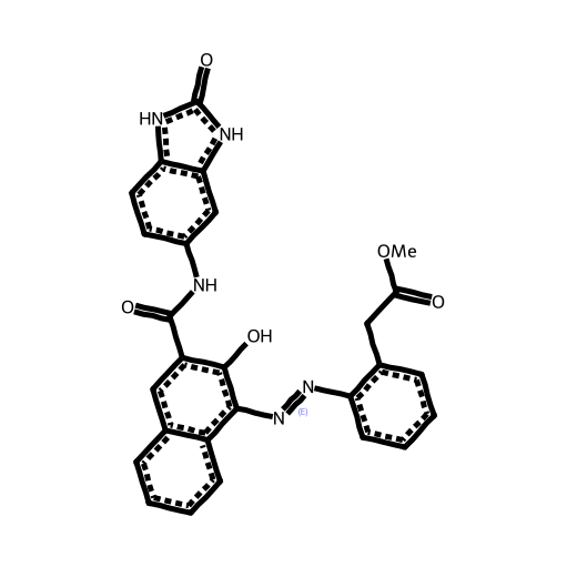 COC(=O)Cc1ccccc1/N=N/c1c(O)c(C(=O)Nc2ccc3[nH]c(=O)[nH]c3c2)cc2ccccc12